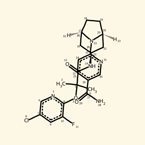 CC(C)(Oc1ncc(Cl)cc1F)C(=O)N[C@H]1C[C@H]2CC[C@@H](C1)N2c1ccc(C(N)=O)cn1